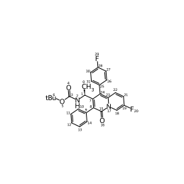 C[C@H](NC(=O)OC(C)(C)C)c1c(-c2ccccc2)c(=O)n2cc(F)ccc2c1-c1ccc(F)cc1